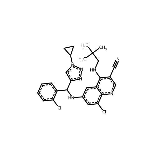 CC(C)(C)CNc1c(C#N)cnc2c(Cl)cc(NC(c3cn(C4CC4)nn3)c3ccccc3Cl)cc12